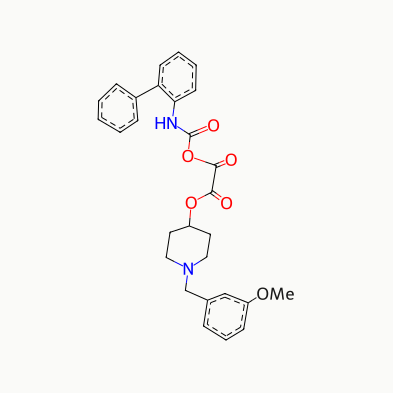 COc1cccc(CN2CCC(OC(=O)C(=O)OC(=O)Nc3ccccc3-c3ccccc3)CC2)c1